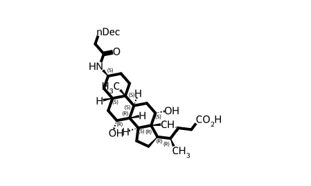 CCCCCCCCCCCC(=O)N[C@H]1CC[C@@]2(C)[C@@H](C1)C[C@@H](O)[C@@H]1[C@@H]2C[C@H](O)[C@]2(C)[C@@H]([C@H](C)CCC(=O)O)CC[C@@H]12